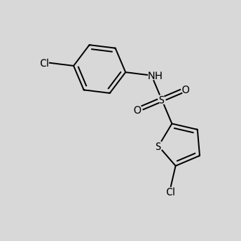 O=S(=O)(Nc1ccc(Cl)cc1)c1ccc(Cl)s1